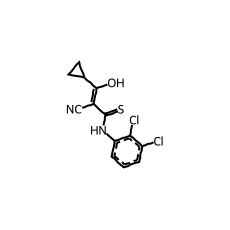 N#C/C(C(=S)Nc1cccc(Cl)c1Cl)=C(/O)C1CC1